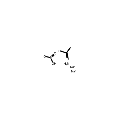 CC(=O)[O-].N.O=[Si]([O-])O.[Na+].[Na+]